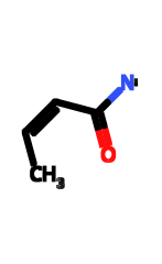 C/C=C\C([N])=O